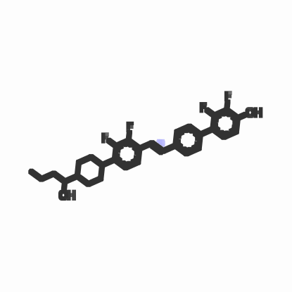 CCCC(O)C1CCC(c2ccc(/C=C/c3ccc(-c4ccc(O)c(F)c4F)cc3)c(F)c2F)CC1